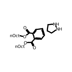 C1CNNC1.CCCCCCCCOC(=O)c1ccccc1C(=O)OCCCCCCCC